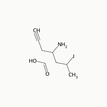 C#CCC(N)CC(C)I.O=CO